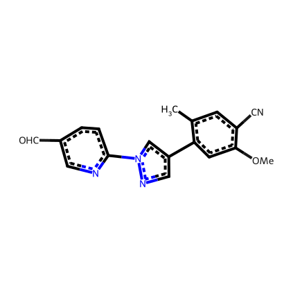 COc1cc(-c2cnn(-c3ccc(C=O)cn3)c2)c(C)cc1C#N